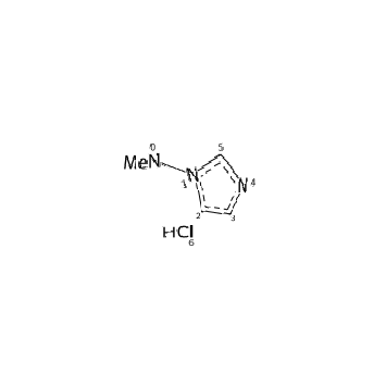 CNn1ccnc1.Cl